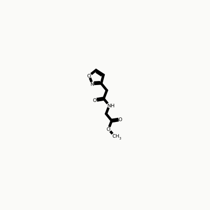 COC(=O)CNC(=O)Cc1ccon1